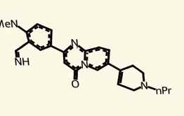 CCCN1CC=C(c2ccc3nc(-c4ccc(NC)c(C=N)c4)cc(=O)n3c2)CC1